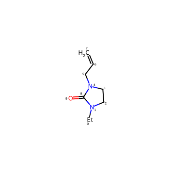 [CH2]CN1CCN(CC=C)C1=O